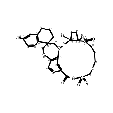 O=C1NS(=O)(=O)CCCCCS(=O)(=O)[C@H]2CC[C@H]2CN2C[C@@]3(CCCc4cc(Cl)ccc43)COc3ccc1cc32